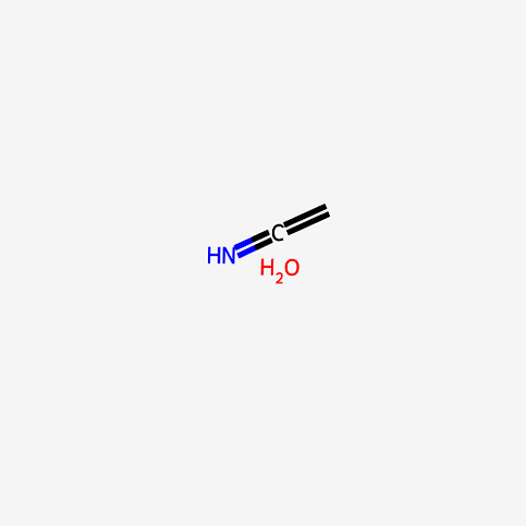 C=C=N.O